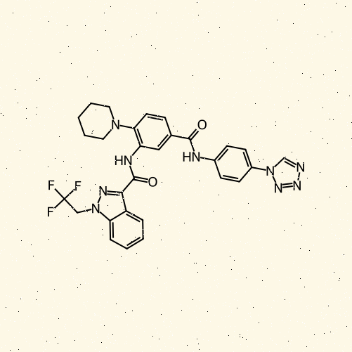 O=C(Nc1ccc(-n2cnnn2)cc1)c1ccc(N2CCCCC2)c(NC(=O)c2nn(CC(F)(F)F)c3ccccc23)c1